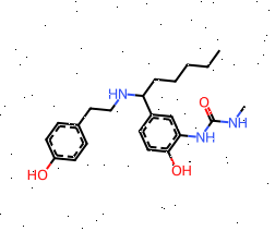 CCCCCC(NCCc1ccc(O)cc1)c1ccc(O)c(NC(=O)NC)c1